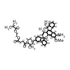 C=C(C)C(=O)OCCOC(=O)CCC(=O)N1CCN(c2ccc(C3(c4ccccc4)C=Cc4c5c(c6cc(N)c(OC)cc6c4O3)-c3ccccc3C5(C)C)cc2)CC1C